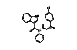 C[C@@H](CN[C@@H](C(=O)c1c[nH]c2ccccc12)c1ccccc1)c1ccc(Cl)cc1